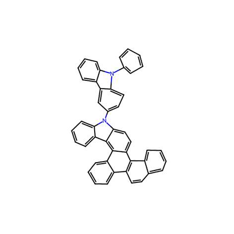 c1ccc(-n2c3ccccc3c3cc(-n4c5ccccc5c5c6c7ccccc7c7ccc8ccccc8c7c6ccc54)ccc32)cc1